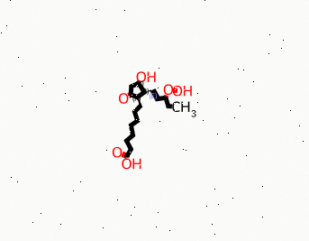 CCC(/C=C/[C@H]1[C@H](O)CC(=O)[C@@H]1CCCCCCCC(=O)O)OO